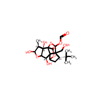 C[C@@H]1C(O)OC2[C@H](O)C34C5C[C@@H](C(C)(C)C)C3(CO)C(OC=O)OC4(C(=O)O5)[C@]21O